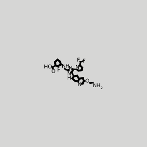 NCCOc1cnc2ccc(-c3[nH]c(CNc4cccc(C(=O)O)c4F)nc3-c3cccc(C(F)F)n3)cc2c1